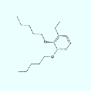 C[CH]c1cccc(OCCCCC)c1OCCCCC